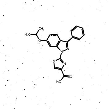 CC(C)Oc1ccc2c(-c3ccccc3)nn(-c3nc(C(=O)O)cs3)c2c1